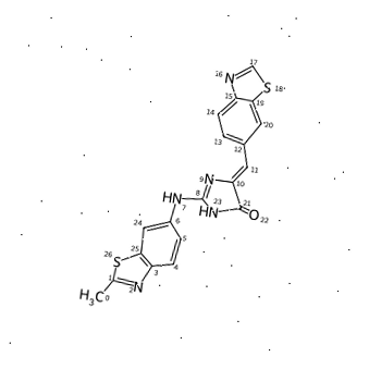 Cc1nc2ccc(NC3=N/C(=C\c4ccc5ncsc5c4)C(=O)N3)cc2s1